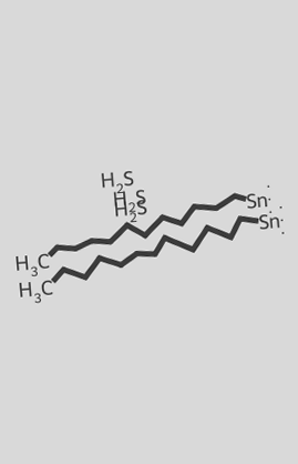 CCCCCCCCCCC[CH2][Sn].CCCCCCCCCCC[CH2][Sn].S.S.S